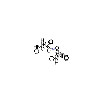 O=C(NC1CCCCC1)N[C@@H](COC(=O)/C=C/C(=O)OC[C@@H](Cc1ccccc1)NC(=O)NC1CCCCC1)Cc1ccccc1